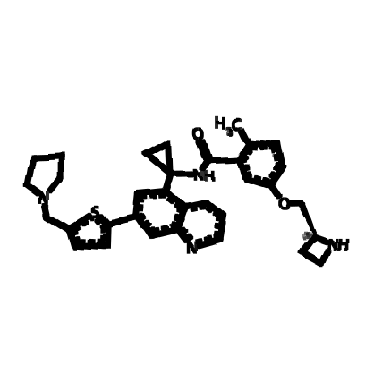 Cc1ccc(OC[C@@H]2CCN2)cc1C(=O)NC1(c2cc(-c3ccc(CN4CCCC4)s3)cc3ncccc23)CC1